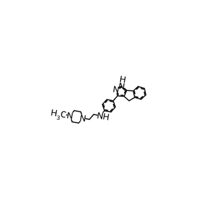 CN1CCN(CCNc2ccc(-c3n[nH]c4c3Cc3ccccc3-4)cc2)CC1